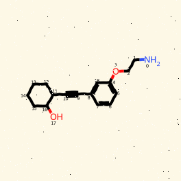 NCCOc1cccc(C#CC2CCCCC2O)c1